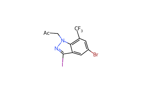 CC(=O)Cn1nc(I)c2cc(Br)cc(C(F)(F)F)c21